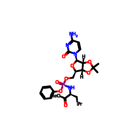 COC(=O)[C@H](CC(C)C)NP(=O)(OC[C@H]1O[C@@H](n2ccc(N)nc2=O)[C@@H]2OC(C)(C)O[C@@H]21)Oc1ccccc1